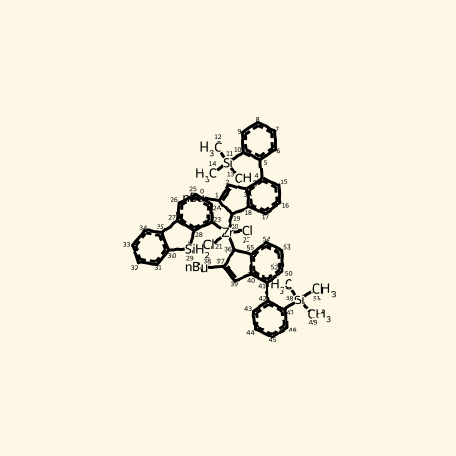 CCCCC1=Cc2c(-c3ccccc3[Si](C)(C)C)cccc2[CH]1[Zr]([Cl])([Cl])([c]1cccc2c1[SiH2]c1ccccc1-2)[CH]1C(CCCC)=Cc2c(-c3ccccc3[Si](C)(C)C)cccc21